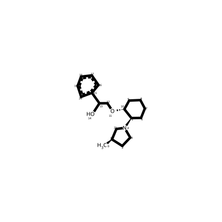 C[C@@H]1CCN([C@@H]2CCCC[C@H]2OCC(O)c2ccccc2)C1